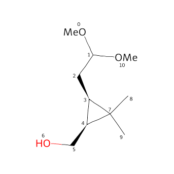 COC(C[C@@H]1[C@H](CO)C1(C)C)OC